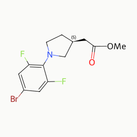 COC(=O)C[C@@H]1CCN(c2c(F)cc(Br)cc2F)C1